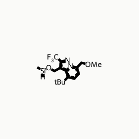 COCc1ccc(C(C)(C)C)c2c(CO[SiH](C)C)c(C(F)(F)F)nn12